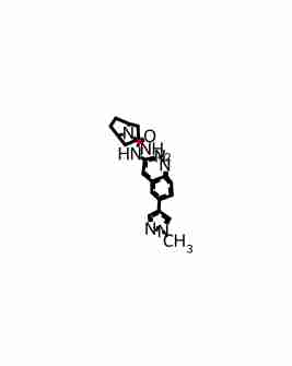 Cn1cc(-c2ccc3nnc(NC(=O)N4C5CCC4CC(N)C5)cc3c2)cn1